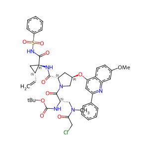 C=C[C@@H]1C[C@]1(NC(=O)[C@@H]1C[C@@H](Oc2cc(-c3ccccc3)nc3cc(OC)ccc23)CN1C(=O)[C@H](CN(C)C(=O)CCl)NC(=O)OC(C)(C)C)C(=O)NS(=O)(=O)c1ccccc1